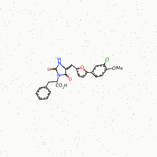 COc1ccc(-c2ccc(/C=C3/NC(=S)N([C@@H](Cc4ccccc4)C(=O)O)C3=O)o2)cc1Cl